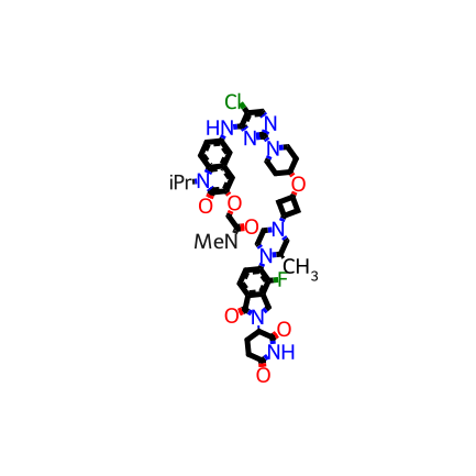 CNC(=O)COc1cc2cc(Nc3nc(N4CCC(OC5CC(N6CCN(c7ccc8c(c7F)CN([C@H]7CCC(=O)NC7=O)C8=O)[C@H](C)C6)C5)CC4)ncc3Cl)ccc2n(C(C)C)c1=O